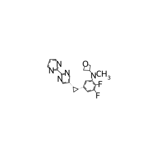 CN(c1cc([C@@H]2C[C@@H]2c2cnc(-c3ncccn3)nc2)cc(F)c1F)C1COC1